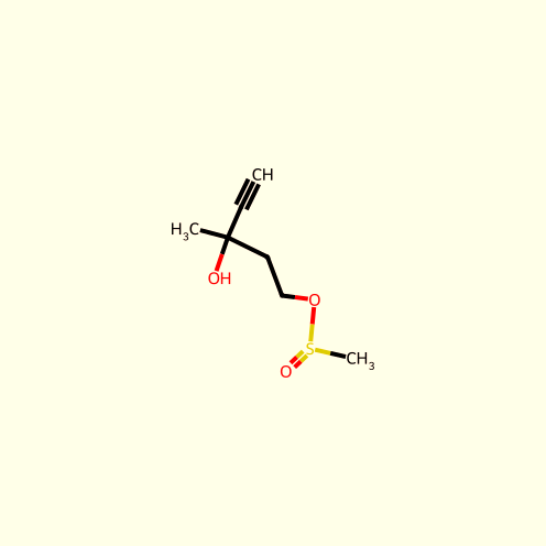 C#CC(C)(O)CCOS(C)=O